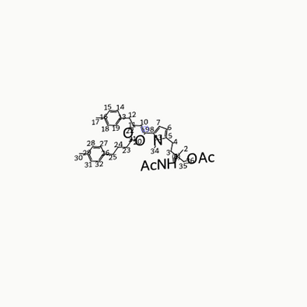 CC(=O)N[C@](C)(CCc1ccc(/C(=C/CCc2ccc(C)cc2)OC(=O)CCCc2ccc(C)cc2)n1C)COC(C)=O